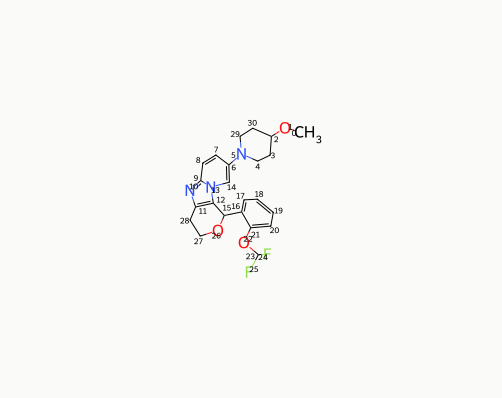 COC1CCN(c2ccc3nc4c(n3c2)C(c2ccccc2OC(F)F)OCC4)CC1